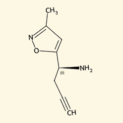 C#CC[C@H](N)c1cc(C)no1